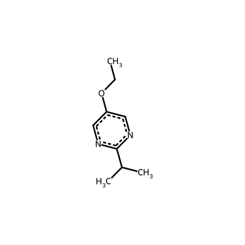 CCOc1cnc(C(C)C)nc1